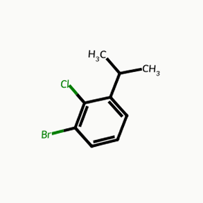 CC(C)c1cccc(Br)c1Cl